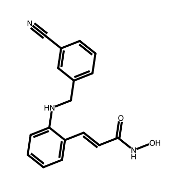 N#Cc1cccc(CNc2ccccc2/C=C/C(=O)NO)c1